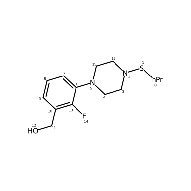 CCCSN1CCN(c2cccc(CO)c2F)CC1